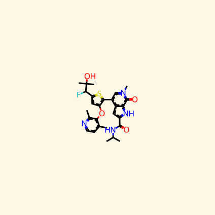 Cc1ccnc(C)c1Oc1cc(C(F)C(C)(C)O)sc1-c1cn(C)c(=O)c2[nH]c(C(=O)NC(C)C)cc12